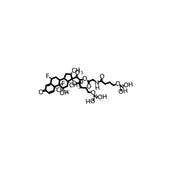 C[C@@H]1CC2C3C[C@H](F)C4=CC(=O)C=C[C@]4(C)[C@@]3(F)[C@@H](O)C[C@]2(C)[C@@]1(OC(=O)CCCON(O)O)C(=O)COC(=O)CNC(=O)CCCON(O)O